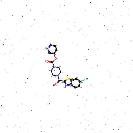 O=C(Oc1cccnc1)N1CCN(C(=O)c2nc3ccc(F)cc3s2)CC1